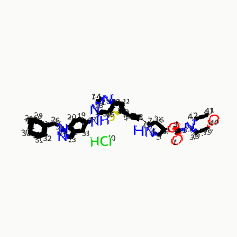 Cl.O=C(O[C@@H]1CN[C@H](C#Cc2cc3ncnc(Nc4ccc5c(cnn5Cc5ccccc5)c4)c3s2)C1)N1CCOCC1